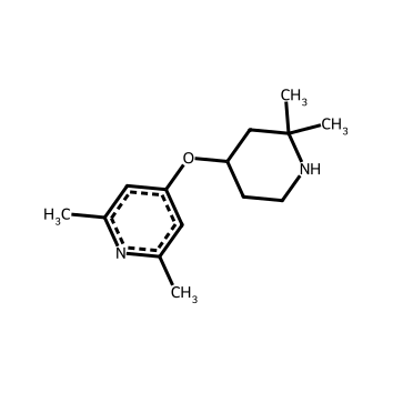 Cc1cc(OC2CCNC(C)(C)C2)cc(C)n1